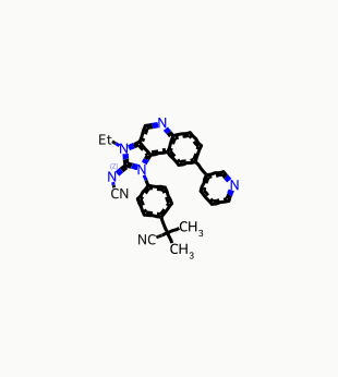 CCn1/c(=N/C#N)n(-c2ccc(C(C)(C)C#N)cc2)c2c3cc(-c4cccnc4)ccc3ncc21